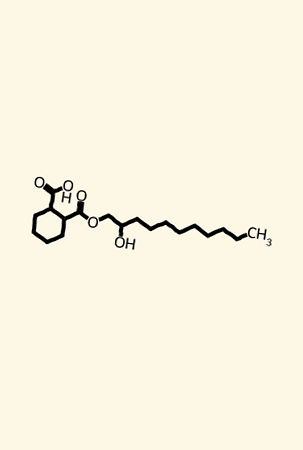 CCCCCCCCCC(O)COC(=O)C1CCCCC1C(=O)O